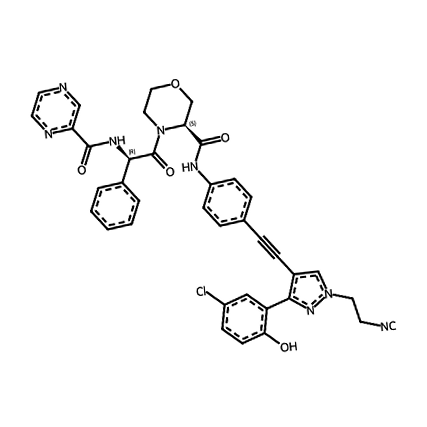 [C-]#[N+]CCn1cc(C#Cc2ccc(NC(=O)[C@@H]3COCCN3C(=O)[C@H](NC(=O)c3cnccn3)c3ccccc3)cc2)c(-c2cc(Cl)ccc2O)n1